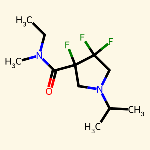 CCN(C)C(=O)C1(F)CN(C(C)C)CC1(F)F